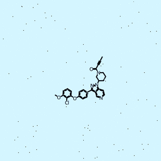 CC#CC(=O)N1CCCC(n2nc(-c3ccc(Oc4cccc(OC)c4Cl)cc3)c3cnccc32)C1